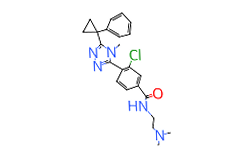 CN(C)CCNC(=O)c1ccc(-c2nnc(C3(c4ccccc4)CC3)n2C)c(Cl)c1